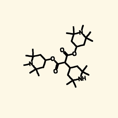 CN1C(C)(C)CC(OC(=O)C(C(=O)OC2CC(C)(C)N(C)C(C)(C)C2)C2CC(C)(C)NC(C)(C)C2)CC1(C)C